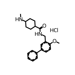 CNC1CCC(C(=O)NCc2cc(-c3ccccc3)ccc2OC)CC1.Cl